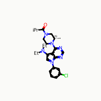 CCN(CC)c1cn(-c2cccc(Cl)c2)c2ncnc(N3CCN(C(=O)C(C)C)C[C@@H]3C)c12